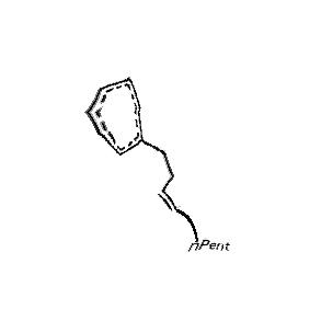 CCCCCC=CCc1ccccc1